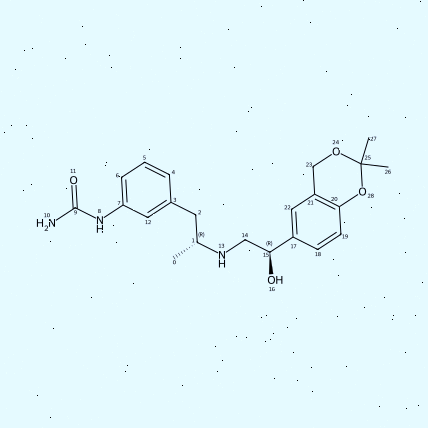 C[C@H](Cc1cccc(NC(N)=O)c1)NC[C@H](O)c1ccc2c(c1)COC(C)(C)O2